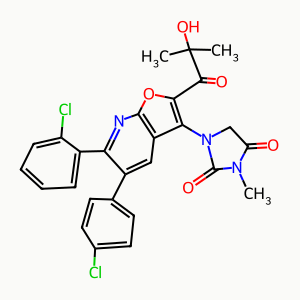 CN1C(=O)CN(c2c(C(=O)C(C)(C)O)oc3nc(-c4ccccc4Cl)c(-c4ccc(Cl)cc4)cc23)C1=O